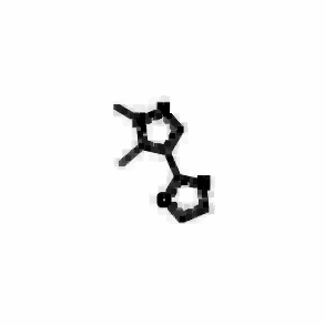 Cc1c(-c2ncco2)cnn1C